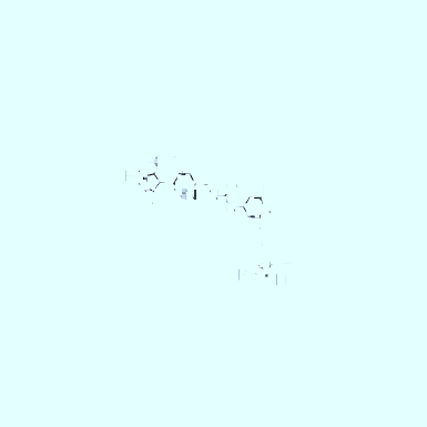 Cc1cc(CNC(=O)Nc2cc(OCCO[Si](C)(C)C(C)(C)C)nc(C(F)(F)F)c2)nnc1-c1c(C(F)(F)F)n[nH]c1C